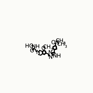 COc1cc(-c2cnc3[nH]cc(-c4ccc(C(=O)N(C)C)cc4)c3n2)cc2c1CN(CCC(=O)NO)CC2